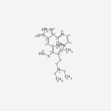 CCN(CC)CCc1c(C)[nH]c(/C=C2/C(=O)NN=C2c2cnccn2)c1CO